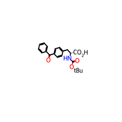 CC(C)(C)OC(=O)N[C@H](Cc1ccc(C(=O)c2ccccc2)cc1)C(=O)O